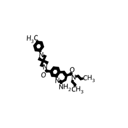 CCCN(CCC)C(=O)C1=Cc2ccc(C(=O)N3CC4(C3)CN(c3ccc(C)cc3)C4)cc2N=C(N)C1